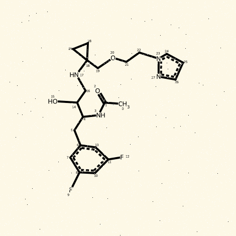 CC(=O)NC(Cc1cc(F)cc(F)c1)C(O)CNC1(COCCn2cccn2)CC1